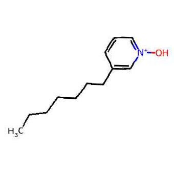 CCCCCCCc1ccc[n+](O)c1